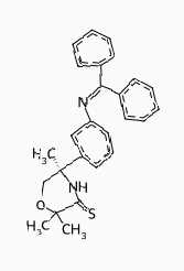 CC1(C)OC[C@@](C)(c2cccc(N=C(c3ccccc3)c3ccccc3)c2)NC1=S